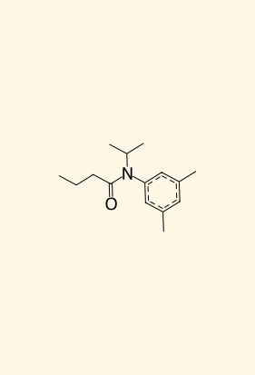 CCCC(=O)N(c1cc(C)cc(C)c1)C(C)C